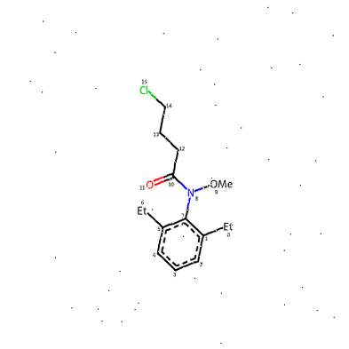 CCc1cccc(CC)c1N(OC)C(=O)CCCCl